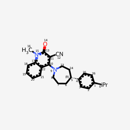 CC(C)c1ccc([C@@H]2CCCN(c3c(C#N)c(=O)n(C)c4ccccc34)CC2)cc1